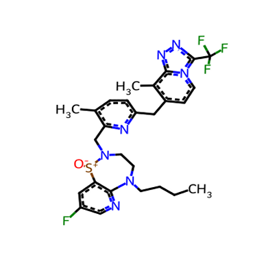 CCCCN1CCN(Cc2nc(Cc3ccn4c(C(F)(F)F)nnc4c3C)ccc2C)[S+]([O-])c2cc(F)cnc21